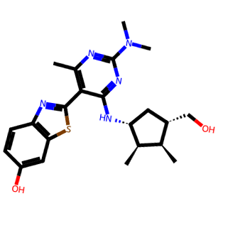 Cc1nc(N(C)C)nc(N[C@@H]2C[C@H](CO)[C@@H](C)[C@H]2C)c1-c1nc2ccc(O)cc2s1